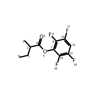 CCC(C)C(=O)Oc1c(F)c(F)cc(F)c1F